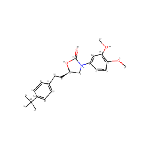 COc1ccc(N2C[C@@H](CCc3ccc(C(C)(C)C)cc3)OC2=O)cc1OC